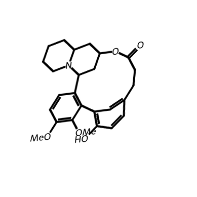 COc1ccc2c(c1OC)-c1cc(ccc1O)CCC(=O)OC1CC3CCCCN3C2C1